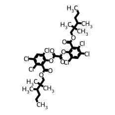 CCCC(C)C(C)(C)COC(=O)c1c(Cl)c(Cl)cc(Cl)c1OC(=O)C(=O)Oc1c(Cl)cc(Cl)c(Cl)c1C(=O)OCC(C)(C)C(C)CCC